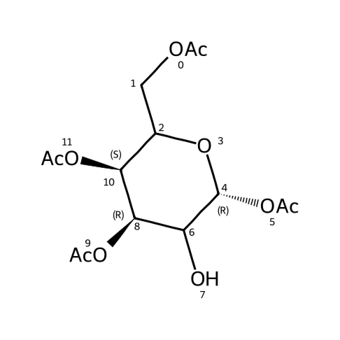 CC(=O)OCC1O[C@H](OC(C)=O)C(O)[C@@H](OC(C)=O)[C@H]1OC(C)=O